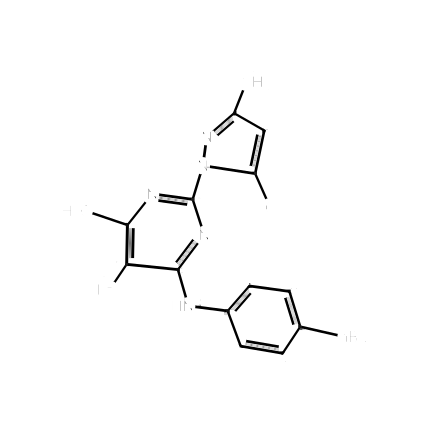 CCCCc1ccc(Nc2nc(-n3nc(C)cc3C)nc(C)c2CC)cc1